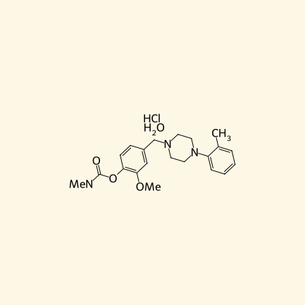 CNC(=O)Oc1ccc(CN2CCN(c3ccccc3C)CC2)cc1OC.Cl.O